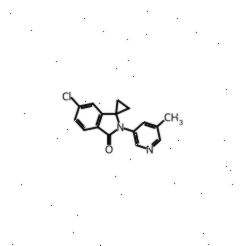 Cc1cncc(N2C(=O)c3ccc(Cl)cc3C23CC3)c1